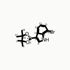 CC1(C)OB(c2c[nH]c3c(Br)cccc23)OC1(C)C